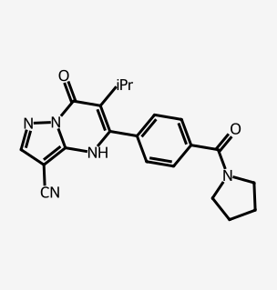 CC(C)c1c(-c2ccc(C(=O)N3CCCC3)cc2)[nH]c2c(C#N)cnn2c1=O